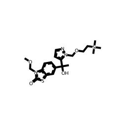 COCn1c(=O)sc2cc(C(C)(O)c3ccnn3COCC[Si](C)(C)C)ccc21